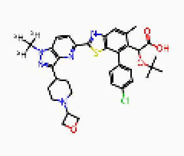 [2H]C([2H])([2H])n1nc(C2CCN(C3COC3)CC2)c2nc(-c3nc4cc(C)c(C(OC(C)(C)C)C(=O)O)c(-c5ccc(Cl)cc5)c4s3)ccc21